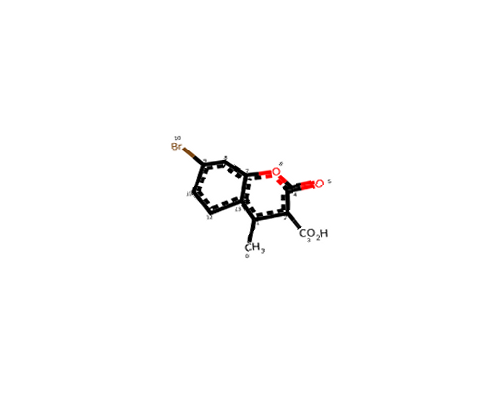 Cc1c(C(=O)O)c(=O)oc2cc(Br)ccc12